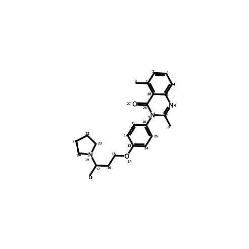 Cc1cccc2nc(C)n(-c3ccc(OCCC(C)N4CCCC4)cc3)c(=O)c12